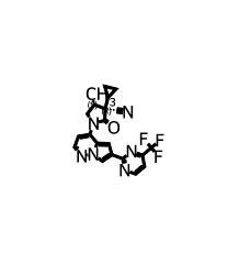 C[C@@H]1CN(c2ccnn3cc(-c4nccc(C(F)(F)F)n4)cc23)C(=O)[C@]1(C#N)C1CC1